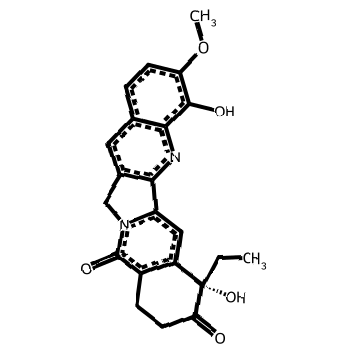 CC[C@@]1(O)C(=O)CCc2c1cc1n(c2=O)Cc2cc3ccc(OC)c(O)c3nc2-1